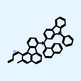 C=C/C=C\c1c(C)cc2cccc3c2c1-c1cccc(N(c2ccc4c5ccccc5n(-c5ccccc5)c4c2)c2cccc4ccccc24)c1-3